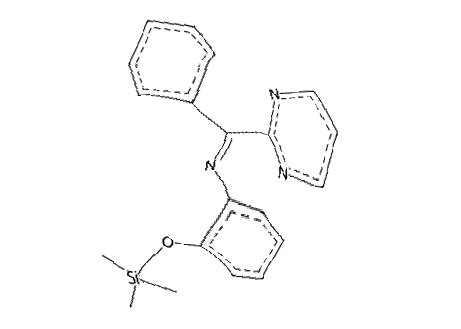 C[Si](C)(C)Oc1ccccc1N=C(c1ccccc1)c1ncccn1